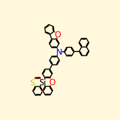 c1ccc2c(c1)Oc1cc(-c3ccc(N(c4ccc(-c5cccc6ccccc56)cc4)c4ccc5c(c4)oc4ccccc45)cc3)ccc1[Si]21c2ccccc2Sc2ccccc21